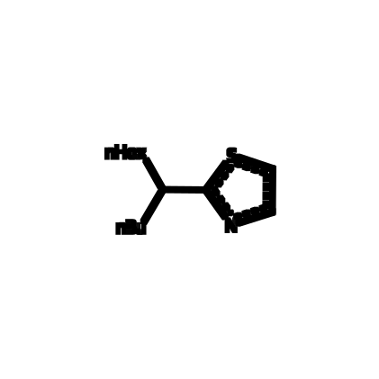 CCCCCCC(CCCC)c1nccs1